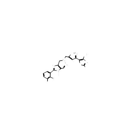 Cc1nc(C)c(-c2cc(CN3Cc4nc(-c5cccc(F)c5F)[nH]c4C=N3)on2)s1